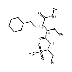 CC(C)C[C@@H](C(=O)NN(CC(C)C)S(C)(=O)=O)[C@H](CCC1CCCCC1)C(=O)NO